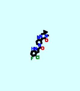 CN1C(=O)c2c3c(nn2CC12CC2)CCN(C(=O)c1cc2c(Cl)c(F)ccc2[nH]1)C3